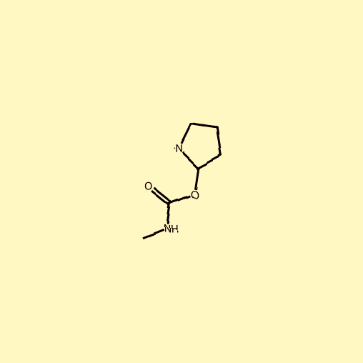 CNC(=O)OC1CCC[N]1